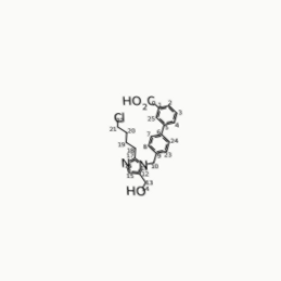 O=C(O)c1cccc(-c2ccc(Cn3c(CO)cnc3CCCCCl)cc2)c1